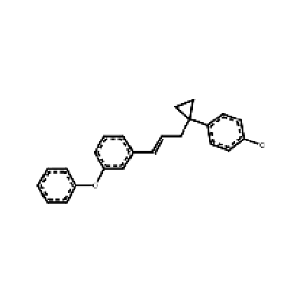 Clc1ccc(C2(C/C=C/c3cccc(Oc4ccccc4)c3)CC2)cc1